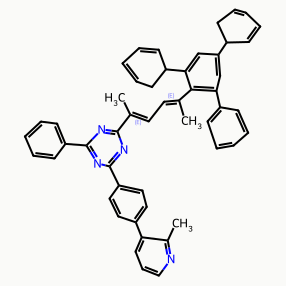 C/C(=C\C=C(/C)c1c(-c2ccccc2)cc(C2C=CC=CC2)cc1C1C=CC=CC1)c1nc(-c2ccccc2)nc(-c2ccc(-c3cccnc3C)cc2)n1